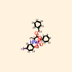 C[C@H](NP(=O)(Oc1ccccc1)Oc1ccc(I)cc1)C(=O)OCc1ccccc1